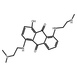 CNCCNc1cccc2c1C(=O)c1c(O)ccc(NCCN(C)C)c1C2=O